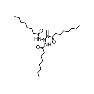 CCCCCCCC(=O)NN(NC(=O)CCCCCCC)NC(=O)CCCCCCC